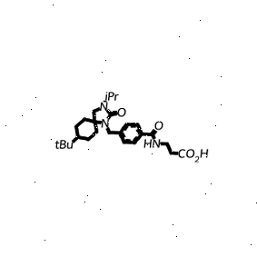 CC(C)N1CC2(CCC(C(C)(C)C)CC2)N(Cc2ccc(C(=O)NCCC(=O)O)cc2)C1=O